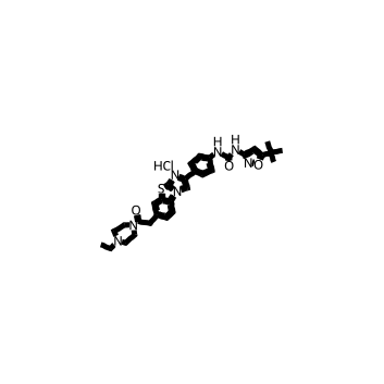 CCN1CCN(C(=O)Cc2ccc3c(c2)sc2nc(-c4ccc(NC(=O)Nc5cc(C(C)(C)C)on5)cc4)cn23)CC1.Cl